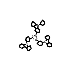 c1ccc(-n2c3ccccc3c3cc(B4OB(c5cccc(-n6c7ccccc7c7ccccc76)c5)OB(c5cccc(-n6c7ccccc7c7ccccc76)c5)O4)ccc32)cc1